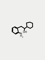 Nc1ccccc1CC(O)C1CCCCC1